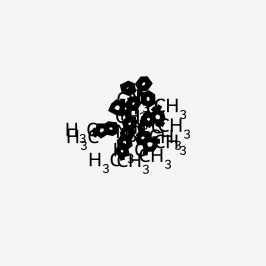 CC1(C)Cc2ccc(N3c4cc5c(cc4B4c6cc7c(cc6N(c6ccc8c(c6)C(C)(C)CCC8(C)C)c6cc(N8c9ccc([Si](c%10ccccc%10)(c%10ccccc%10)c%10ccccc%10)cc9C9(C)CCCCC89C)cc3c64)C(C)(C)CCC7(C)C)CC(C)(C)C5)cc2C1